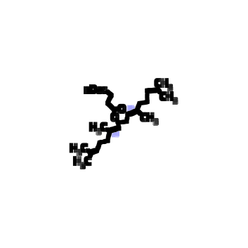 CCCCCCCCCCCCC(=O)OC(/C=C(\C)CCC=C(C)C)C/C=C(\C)CCC=C(C)C